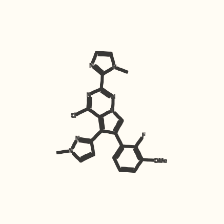 COc1cccc(-c2cn3nc(-c4nccn4C)nc(Cl)c3c2-c2ccn(C)n2)c1F